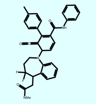 CNC(=O)CC1c2ccccc2N(C2C=CC(C(=O)Nc3ccccc3)=C(c3ccc(C)cc3)C2=C=O)CCC1(F)F